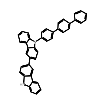 c1ccc(-c2ccc(-c3ccc(-n4c5ccccc5c5cc(-c6ccc7[nH]c8ccccc8c7c6)ccc54)cc3)cc2)cc1